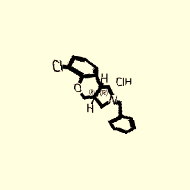 Cl.Clc1cccc2c1OC[C@H]1CN(Cc3ccccc3)C[C@@H]21